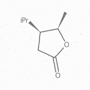 CC(C)[C@@H]1CC(=O)O[C@@H]1C